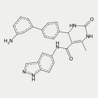 CC1=C(C(=O)Nc2ccc3[nH]ncc3c2)C(c2ccc(-c3cccc(N)c3)cc2)NC(=O)N1